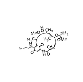 CO[C@H]1C[C@H](C)CC2=C(NCCCI)C(=O)C=C(NC(=O)/C(C)=C/C=C\[C@@H](OC)[C@@H](OC(N)=O)/C(C)=C/[C@H](C)[C@H]1O)C2=O